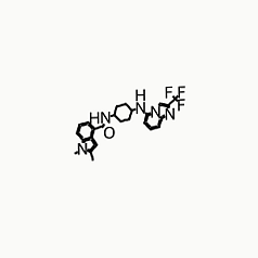 Cc1cc2c(C(=O)NC3CCC(Nc4cccc5nc(C(F)(F)F)cn45)CC3)cccc2n1C